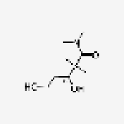 CN(C)C(=O)C(C)(C)[C@@H](O)CCO